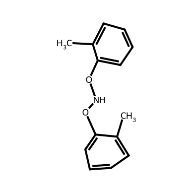 Cc1ccccc1ONOc1ccccc1C